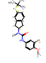 CCN(C(=O)Nc1ccc(OC(F)(F)F)c(Br)c1)C1Cc2ccc(SC(C)(C)C(=O)O)cc2C1